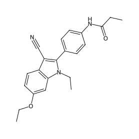 CCOc1ccc2c(C#N)c(-c3ccc(NC(=O)CC)cc3)n(CC)c2c1